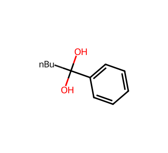 CCCCC(O)(O)c1ccccc1